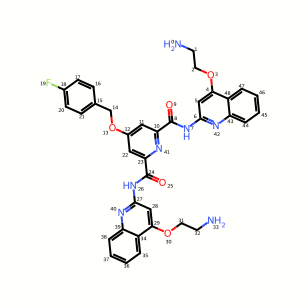 NCCOc1cc(NC(=O)c2cc(OCc3ccc(F)cc3)cc(C(=O)Nc3cc(OCCN)c4ccccc4n3)n2)nc2ccccc12